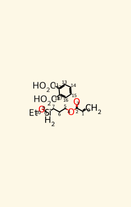 C=CC(=O)OCCC[SiH2]OCC.O=C(O)c1ccccc1C(=O)O